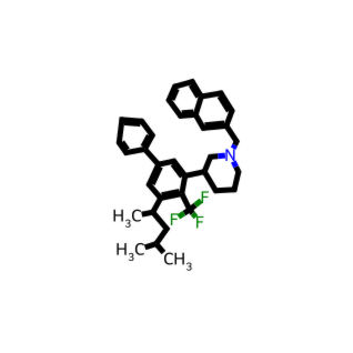 CC(C)CC(C)c1cc(-c2ccccc2)cc(C2CCCN(Cc3ccc4ccccc4c3)C2)c1C(F)(F)F